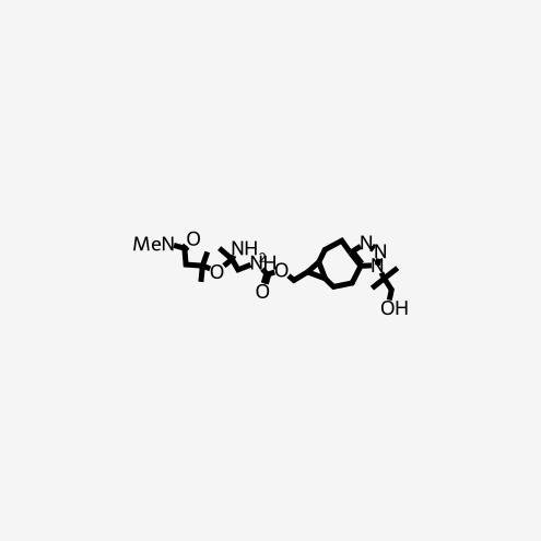 CNC(=O)CC(C)(C)OC(C)(N)CNC(=O)OCC1C2CCc3nnn(C(C)(C)CO)c3CCC21